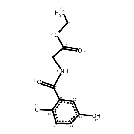 CCOC(=O)CNC(=O)c1cc(O)ccc1Cl